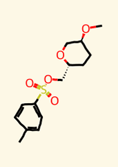 CO[C@H]1CC[C@H](COS(=O)(=O)c2ccc(C)cc2)OC1